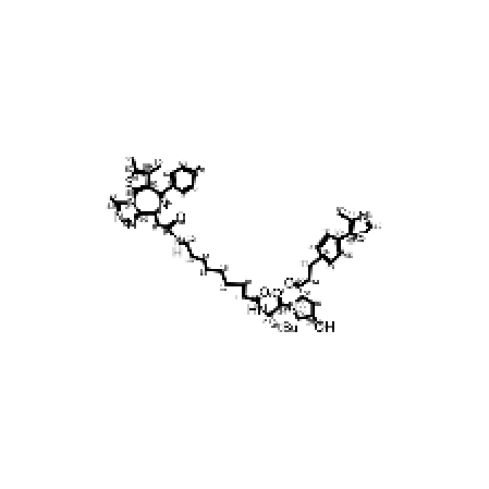 Cc1ccc(C2=NC(CC(=O)NCCCCCCCCC(=O)N[C@H](C(=O)N3CC(O)C[C@H]3C(=O)CCc3ccc(-c4scnc4C)cc3)C(C)(C)C)c3nnc(C)n3-c3sc(C)c(C)c32)cc1